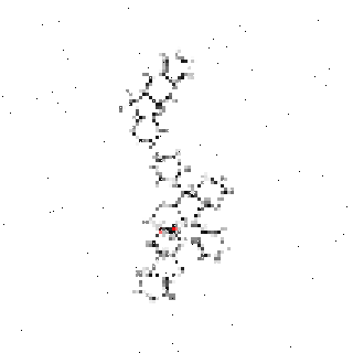 CC1(C)c2ccc(-c3ccc(-c4c5ccccc5c(-c5ccccc5-c5cccc6c5oc5ccccc56)c5ccccc45)cc3)cc2-c2cc3ccccc3cc21